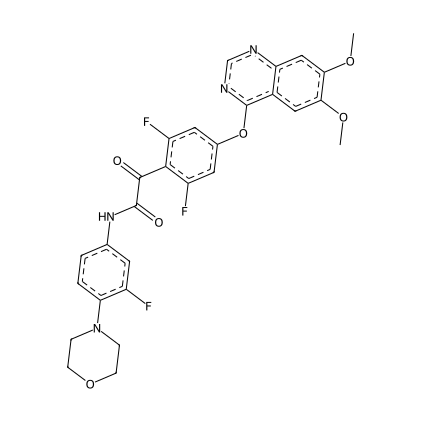 COc1cc2ncnc(Oc3cc(F)c(C(=O)C(=O)Nc4ccc(N5CCOCC5)c(F)c4)c(F)c3)c2cc1OC